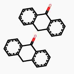 O=C1c2ccccc2Cc2ccccc21.O=C1c2ccccc2Cc2ccccc21